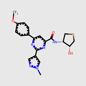 Cn1cc(-c2nc(C(=O)N[C@@H]3CSC[C@@H]3O)cc(-c3ccc(OC(F)(F)F)cc3)n2)cn1